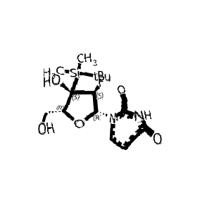 CC(C)(C)[Si](C)(C)[C@@]1(O)[C@@H](CO)O[C@@H](n2ccc(=O)[nH]c2=O)[C@@H]1F